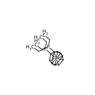 CCP(CC)[C]12[CH]3[CH]4[CH]5[CH]1[Fe]45321678[CH]2[CH]1[CH]6[C]7(P(CC)CC)[CH]28